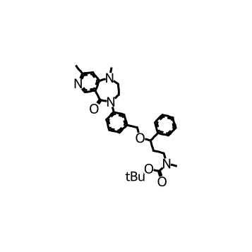 Cc1cc2c(cn1)C(=O)N(c1cccc(COC(CCN(C)C(=O)OC(C)(C)C)c3ccccc3)c1)CCN2C